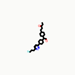 CCC(=O)CCC1CCC(C(C=O)C2CCC(c3ccc(CCCF)nn3)CC2)CC1